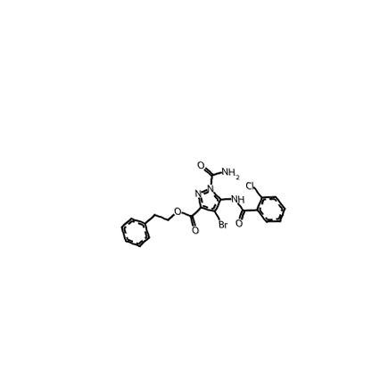 NC(=O)n1nc(C(=O)OCCc2ccccc2)c(Br)c1NC(=O)c1ccccc1Cl